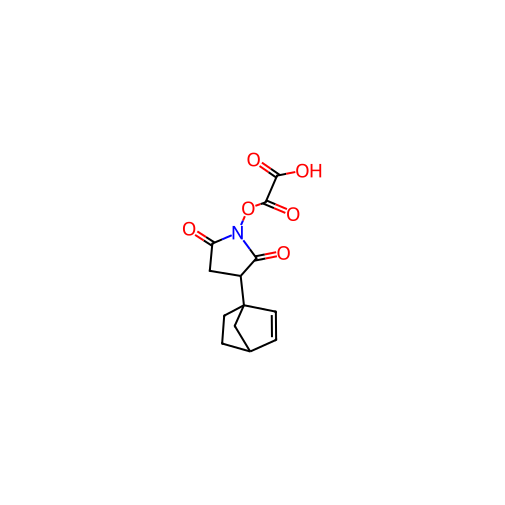 O=C(O)C(=O)ON1C(=O)CC(C23C=CC(CC2)C3)C1=O